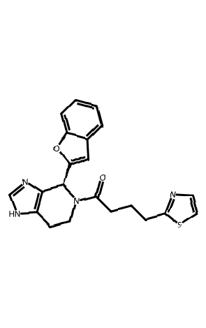 O=C(CCCc1nccs1)N1CCc2[nH]cnc2[C@H]1c1cc2ccccc2o1